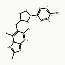 Cc1nc2nc(C)c(CC3CCN(c4cnc(Br)nc4)C3)c(C)n2n1